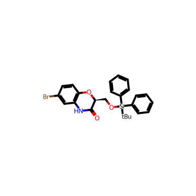 CC(C)(C)[Si](OC[C@@H]1Oc2ccc(Br)cc2NC1=O)(c1ccccc1)c1ccccc1